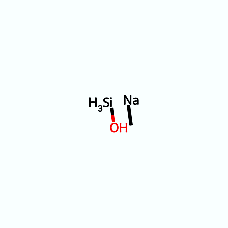 O[SiH3].[CH3][Na]